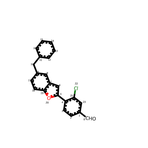 O=Cc1ccc(-c2cc3cc(Cc4ccccc4)ccc3o2)c(Cl)c1